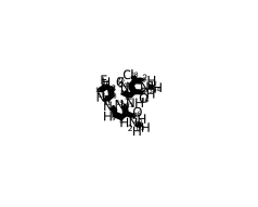 [2H]C([2H])([2H])NC(=O)c1ccc(Nc2ccc(F)cn2)nc1Nc1cn(C)c2c(Cl)cn(C([2H])([2H])[2H])c(=O)c12